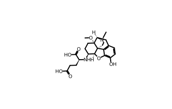 CO[C@@]12CC[C@H](N[C@@H](CCC(=O)O)C(=O)O)[C@@H]3Oc4c(O)ccc5c4[C@@]31CCN(C)[C@@H]2C5